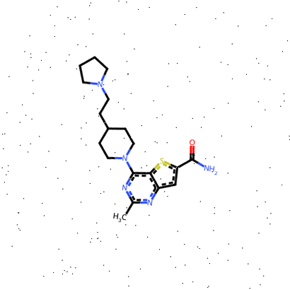 Cc1nc(N2CCC(CCN3CCCC3)CC2)c2sc(C(N)=O)cc2n1